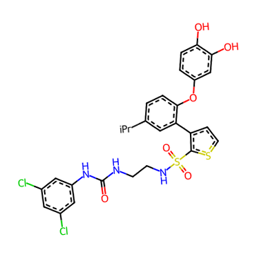 CC(C)c1ccc(Oc2ccc(O)c(O)c2)c(-c2ccsc2S(=O)(=O)NCCNC(=O)Nc2cc(Cl)cc(Cl)c2)c1